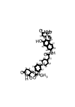 Cn1c(=O)n(C2CCC(=O)NC2=O)c2ccc(N3CCC(CC(=O)Nc4ccc5c(F)c(N6CC(=O)NS6(=O)=O)c(O)cc5c4)CC3)cc21